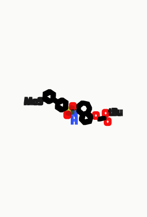 CSc1cccc(-c2ccc(S(=O)(=O)NC3CCCCc4c(OCC(=O)OC(C)(C)C)cccc43)cc2)c1